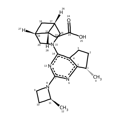 C[C@H]1CCc2c1nc(N1CC[C@@H]1C)nc2N1C[C@H]2C[C@@H](C1)[C@H]2CC(=O)O